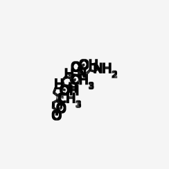 C[C@]12CC[C@H](N(CCCN)C(=O)O)C[C@H]1CC[C@@H]1[C@@H]2CC[C@]2(C)[C@@H](c3ccc(=O)oc3)CC[C@]12O